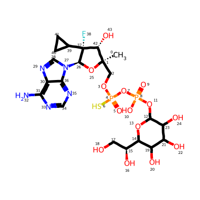 C[C@]1(COP(=O)(S)OP(=O)(O)OC2OC([C@@H](O)CO)C(O)C(O)C2O)O[C@@H](n2cnc3c(N)ncnc32)[C@@](F)(C2CC2)[C@@H]1O